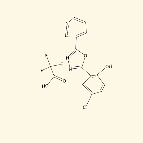 O=C(O)C(F)(F)F.Oc1ccc(Cl)cc1-c1nnc(-c2cccnc2)o1